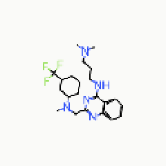 CN(C)CCCNc1nc(CN(C)C2CCCC(C(F)(F)F)C2)nc2ccccc12